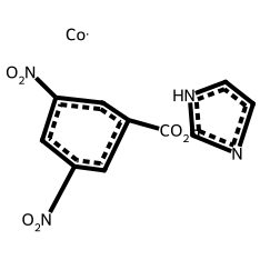 O=C(O)c1cc([N+](=O)[O-])cc([N+](=O)[O-])c1.[Co].c1c[nH]cn1